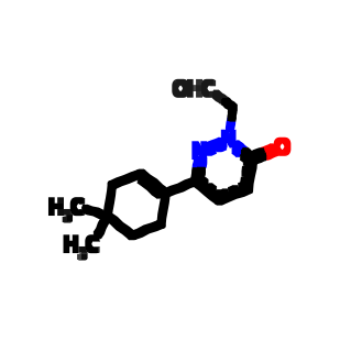 CC1(C)CC=C(c2ccc(=O)n(CC=O)n2)CC1